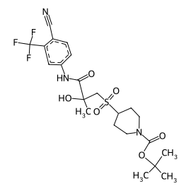 CC(C)(C)OC(=O)N1CCC(S(=O)(=O)CC(C)(O)C(=O)Nc2ccc(C#N)c(C(F)(F)F)c2)CC1